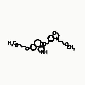 COCCCOc1ccc2c(c1)CCCO[C@@]21CCNC[C@@H]1OCc1ccc2c(c1)N(CCCOC)CCO2